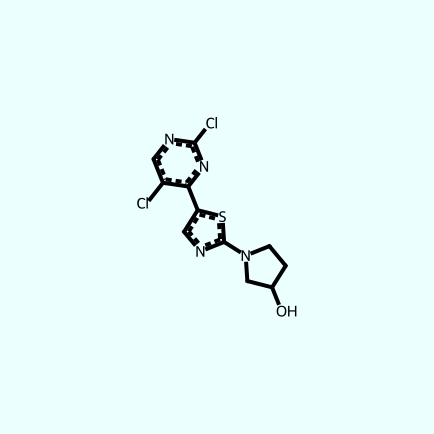 OC1CCN(c2ncc(-c3nc(Cl)ncc3Cl)s2)C1